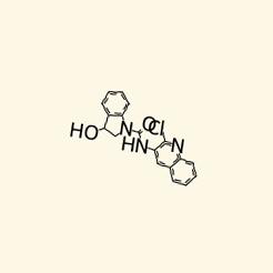 O=C(Nc1cc2ccccc2nc1Cl)N1CC(O)c2ccccc21